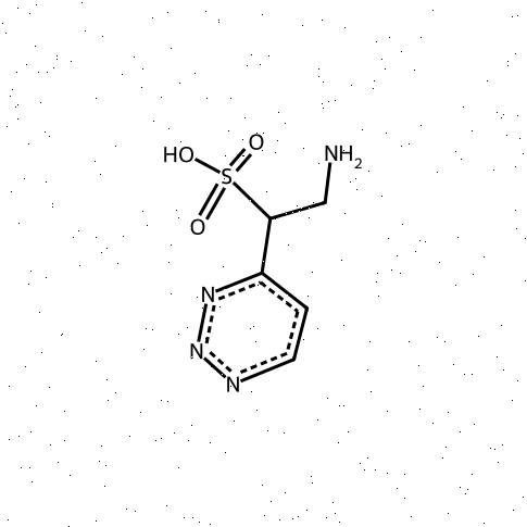 NCC(c1ccnnn1)S(=O)(=O)O